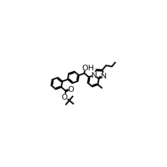 CCCc1cn2c(C(O)c3ccc(-c4ccccc4C(=O)OC(C)(C)C)cc3)ccc(C)c2n1